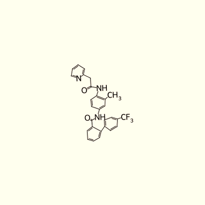 Cc1cc(NC(=O)c2ccccc2-c2ccc(C(F)(F)F)cc2)ccc1NC(=O)Cc1ccccn1